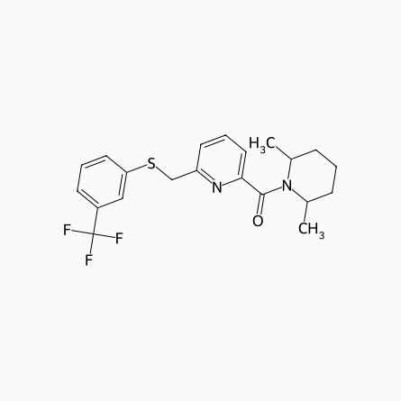 CC1CCCC(C)N1C(=O)c1cccc(CSc2cccc(C(F)(F)F)c2)n1